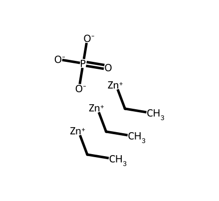 C[CH2][Zn+].C[CH2][Zn+].C[CH2][Zn+].O=P([O-])([O-])[O-]